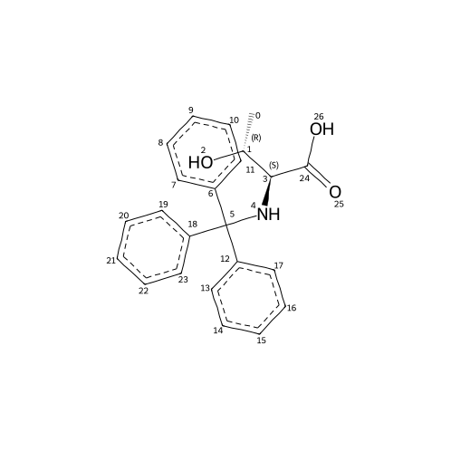 C[C@@H](O)[C@H](NC(c1ccccc1)(c1ccccc1)c1ccccc1)C(=O)O